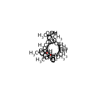 CC[C@H]1OC(=O)[C@H](C)[C@@H](O[C@H]2C[C@@](C)(OC)[C@@H](O)[C@H](C)O2)[C@H](C)[C@@H](O[C@@H]2O[C@H](C)C[C@H](N(C)C)[C@H]2OC(=S)Nc2ccccc2)[C@](C)(O)C[C@@H](C)CN(C)[C@H](C)[C@@H](O)[C@]1(C)O